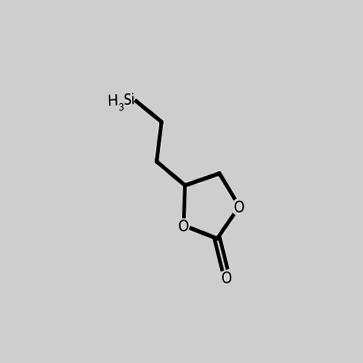 O=C1OCC(CC[SiH3])O1